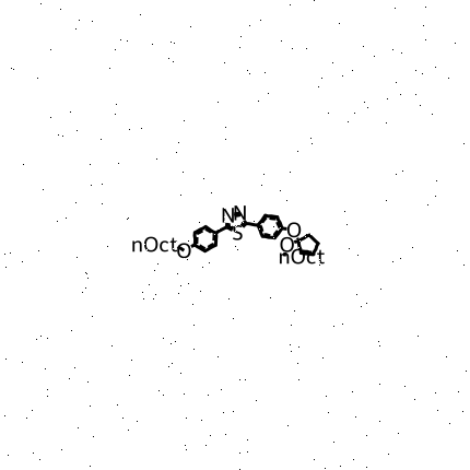 CCCCCCCCOc1ccc(-c2nnc(-c3ccc(O[C@]4(OCCCCCCCC)C=CCC4)cc3)s2)cc1